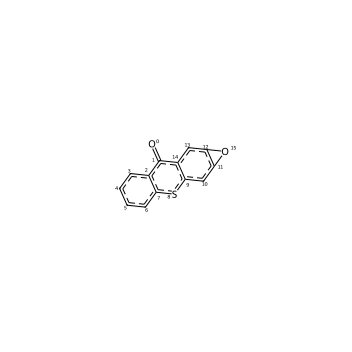 O=c1c2ccccc2sc2cc3c(cc12)O3